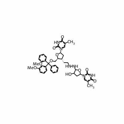 COc1cccc(C(OC[C@H]2O[C@@H](n3cc(C)c(=O)[nH]c3=O)C[C@@H]2CCNNC2OC(n3cc(C)c(=O)[nH]c3=O)CC2O)(c2ccccc2)c2ccccc2)c1OC